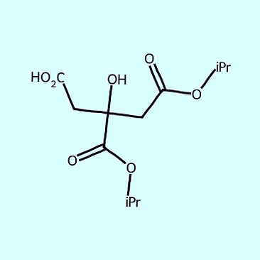 CC(C)OC(=O)CC(O)(CC(=O)O)C(=O)OC(C)C